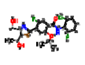 CC(O)c1sc(-c2cc(O[C@@H](C)C(F)(F)F)c(C(=O)Nc3c(F)cccc3Cl)cc2F)nc1CO